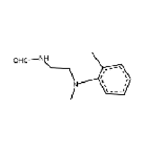 Cc1ccccc1N(C)CCN[C]=O